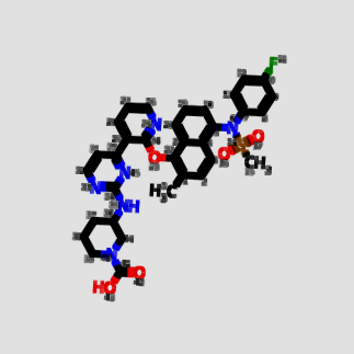 Cc1ccc2c(N(c3ccc(F)cc3)S(C)(=O)=O)cccc2c1Oc1ncccc1-c1ccnc(NC2CCCN(C(=O)O)C2)n1